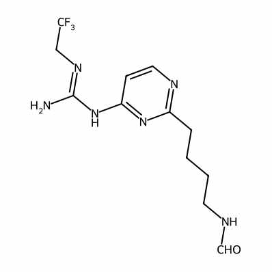 NC(=NCC(F)(F)F)Nc1ccnc(CCCCNC=O)n1